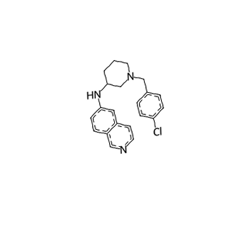 Clc1ccc(CN2CCCC(Nc3ccc4cnccc4c3)C2)cc1